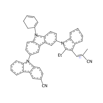 CCc1c(/C=C(\C)C#N)c2ccccc2n1-c1ccc2c(c1)c1cc(-n3c4ccccc4c4cc(C#N)ccc43)ccc1n2C1=CC=CCC1